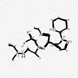 CC/N=C/C(=N\N(CC(F)F)C(C)CNN(C)CC)c1ccnn1C1CCCCO1